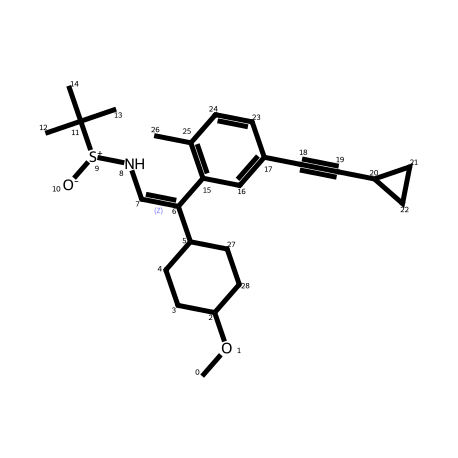 COC1CCC(/C(=C/N[S+]([O-])C(C)(C)C)c2cc(C#CC3CC3)ccc2C)CC1